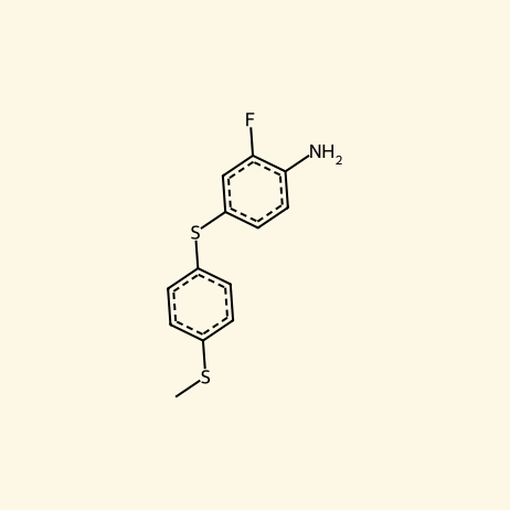 CSc1ccc(Sc2ccc(N)c(F)c2)cc1